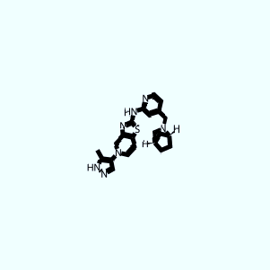 Cc1[nH]ncc1N1C=Cc2sc(Nc3cc(CN4C[C@@H]5CC[C@H]4C5)ccn3)nc2C1